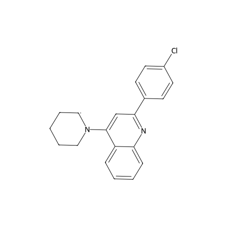 Clc1ccc(-c2cc(N3[CH]CCCC3)c3ccccc3n2)cc1